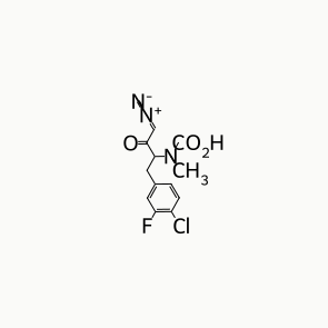 CN(C(=O)O)C(Cc1ccc(Cl)c(F)c1)C(=O)C=[N+]=[N-]